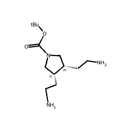 CC(C)(C)OC(=O)N1C[C@@H](CCN)[C@@H](CCN)C1